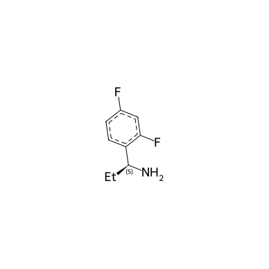 CC[C@H](N)c1ccc(F)cc1F